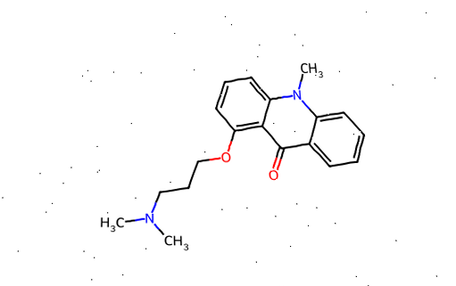 CN(C)CCCOc1cccc2c1c(=O)c1ccccc1n2C